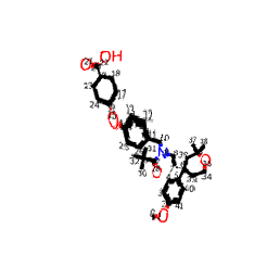 COc1ccc([C@]2(CCN(Cc3ccc(O[C@H]4CC[C@H](C(=O)O)CC4)cc3)C(=O)C(C)(C)C)CCOC(C)(C)C2)cc1